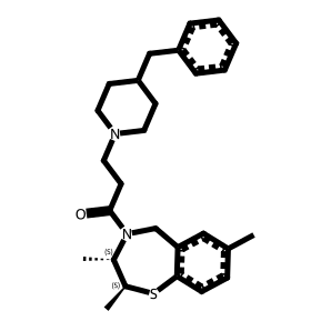 Cc1ccc2c(c1)CN(C(=O)CCN1CCC(Cc3ccccc3)CC1)[C@@H](C)[C@H](C)S2